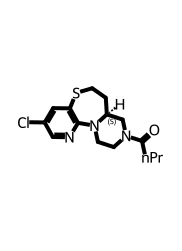 CCCC(=O)N1CCN2c3ncc(Cl)cc3SCC[C@H]2C1